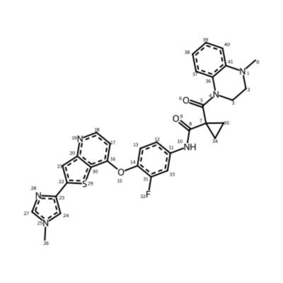 CN1CCN(C(=O)C2(C(=O)Nc3ccc(Oc4ccnc5cc(-c6cn(C)cn6)sc45)c(F)c3)CC2)c2ccccc21